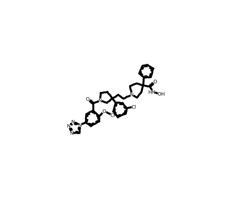 COc1ccc(-n2cnnn2)cc1C(=O)N1CCC(CCN2CCC(C(=O)NO)(c3ccccc3)CC2)(c2cccc(Cl)c2)C1